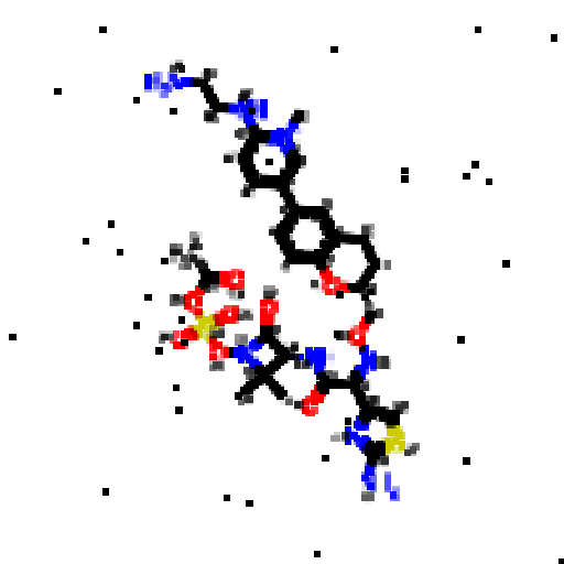 C[n+]1cc(-c2ccc3c(c2)CC[C@H](CO/N=C(\C(=O)N[C@H]2C(=O)N(OS(=O)(=O)OC(=O)C(F)(F)F)C2(C)C)c2csc(N)n2)O3)ccc1NCCN